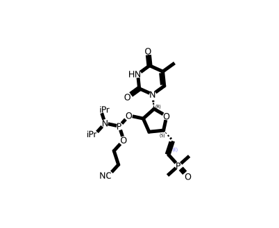 Cc1cn([C@@H]2O[C@H](/C=C/P(C)(C)=O)CC2OP(OCCC#N)N(C(C)C)C(C)C)c(=O)[nH]c1=O